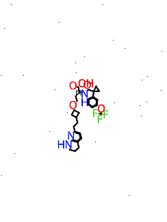 O=C(O)[C@H](CCOC1CC(CCc2ccc3c(n2)NCCC3)C1)NC(=O)C1(c2cccc(OC(F)(F)F)c2)CC1